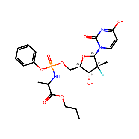 CCCOC(=O)C(C)NP(=O)(OC[C@H]1O[C@@H](n2ccc(O)nc2=O)[C@](C)(F)[C@@H]1O)Oc1ccccc1